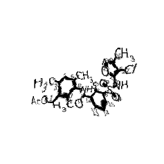 CC(=O)OCc1c(C)cc(C)c(NC(=O)C2=CC=CC(S(=O)(=O)Nc3onc(C)c3Cl)C2=S)c1C